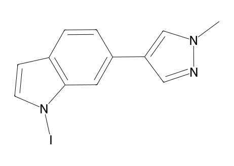 Cn1cc(-c2ccc3ccn(I)c3c2)cn1